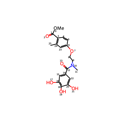 COC(=O)c1ccc(OCCN(C)C(=O)c2cc(O)c(O)c(O)c2)cc1C